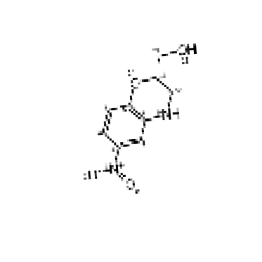 O=[N+]([O-])c1ccc2c(c1)NC[C@@H](CO)O2